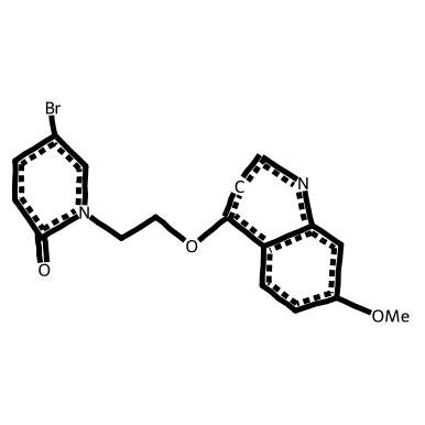 COc1ccc2c(OCCn3cc(Br)ccc3=O)ccnc2c1